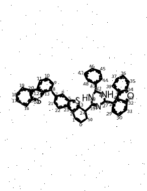 C1=Cc2c(sc3cc(-c4cccc5c4sc4ccccc45)ccc23)C(C2=NC(c3cccc4oc5ccccc5c34)NC(c3ccccc3)N2)C1